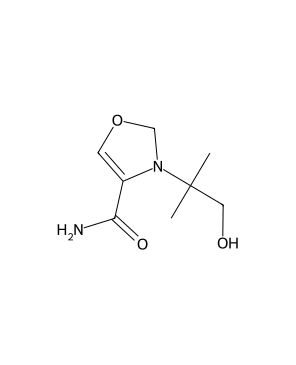 CC(C)(CO)N1COC=C1C(N)=O